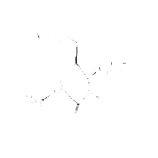 CN(C(=O)OC(C)(C)C)[C@@H](CCC(=O)O)C(=O)O